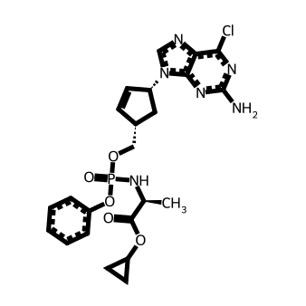 C[C@H](NP(=O)(OC[C@@H]1C=C[C@H](n2cnc3c(Cl)nc(N)nc32)C1)Oc1ccccc1)C(=O)OC1CC1